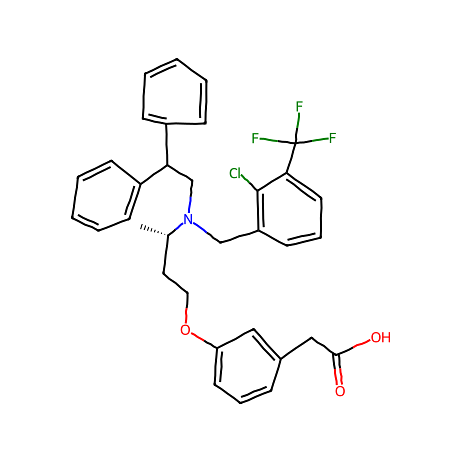 C[C@@H](CCOc1cccc(CC(=O)O)c1)N(Cc1cccc(C(F)(F)F)c1Cl)CC(c1ccccc1)c1ccccc1